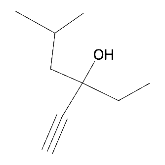 C#CC(O)(CC)CC(C)C